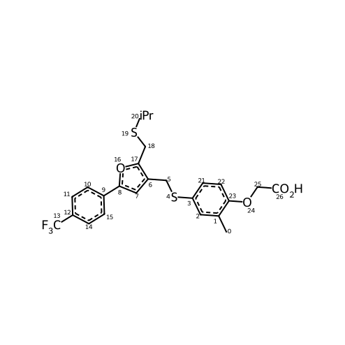 Cc1cc(SCc2cc(-c3ccc(C(F)(F)F)cc3)oc2CSC(C)C)ccc1OCC(=O)O